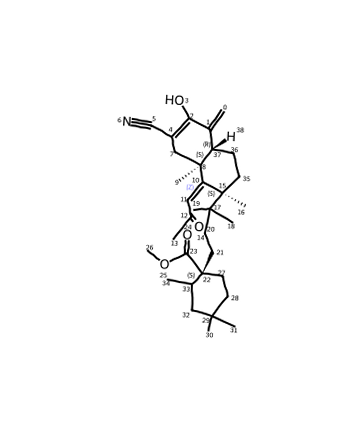 C=C1C(O)=C(C#N)C[C@]2(C)/C(=C/C(C)=O)[C@](C)(C(C)(C)CC[C@@]3(C(=O)OC)CCC(C)(C)CC3C)CC[C@@H]12